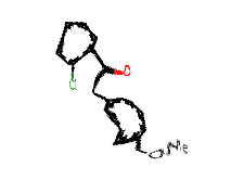 COc1ccc(CC(=O)c2ccccc2Cl)cc1